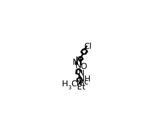 CCN(C(C)=O)C(C)CC(=N)c1ccc(-n2cnn3cc(-c4ccc(Cl)cc4)cc3c2=O)cn1